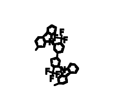 Cc1ccc2c3ccccc3n(-c3cc(-c4ccc(C(F)(F)F)c(-n5c6ccccc6c6ccc(C)cc65)c4)ccc3C(F)(F)F)c2c1